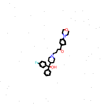 O=C(CCCN1CCC(C(O)(c2ccccc2)c2ccc(F)cc2)CC1)c1ccc(N2CCOCC2)cc1